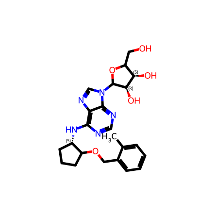 Cc1ccccc1COC1CCC[C@@H]1Nc1ncnc2c1ncn2C1OC(CO)[C@@H](O)[C@H]1O